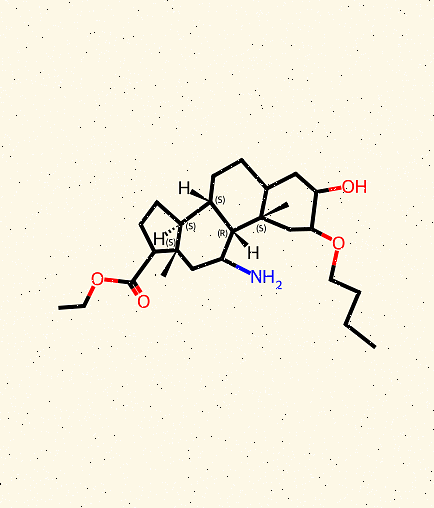 CCCCOC1C[C@@]2(C)C(CC[C@@H]3[C@H]2C(N)C[C@]2(C)C(C(=O)OCC)CC[C@@H]32)CC1O